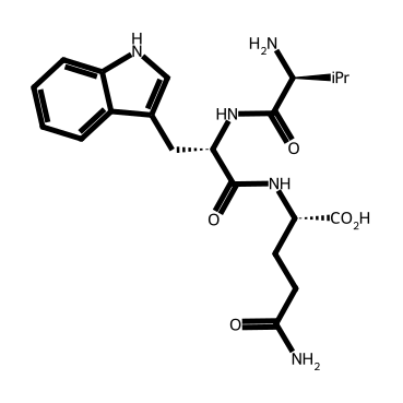 CC(C)[C@H](N)C(=O)N[C@@H](Cc1c[nH]c2ccccc12)C(=O)N[C@@H](CCC(N)=O)C(=O)O